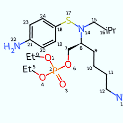 CCOP(=O)(OCC)OC[C@H](CCCCN)N(CC(C)C)Sc1ccc(N)cc1